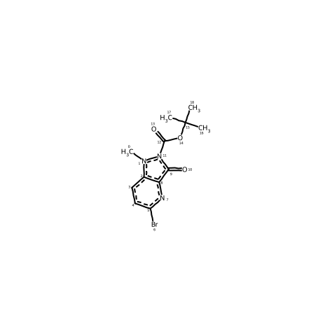 Cn1c2ccc(Br)nc2c(=O)n1C(=O)OC(C)(C)C